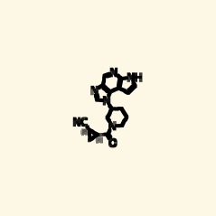 N#C[C@@H]1C[C@@H]1C(=O)N1CCCC(n2cnc3cnc4[nH]ccc4c32)C1